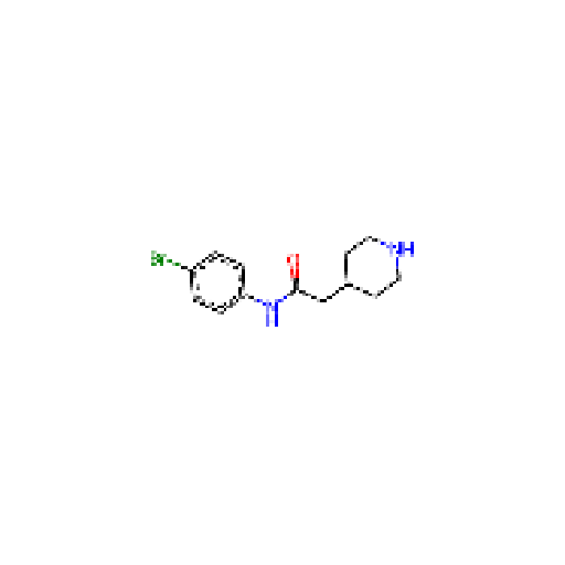 O=C(CC1CCNCC1)Nc1ccc(Br)cc1